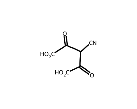 N#CC(C(=O)C(=O)O)C(=O)C(=O)O